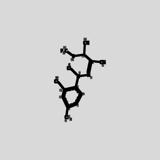 N#CC(=NN(Cl)c1ccc(C(F)(F)F)cc1Cl)C(C#N)SC(F)(F)F